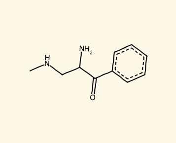 CNCC(N)C(=O)c1ccccc1